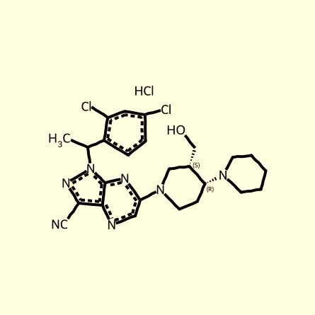 CC(c1ccc(Cl)cc1Cl)n1nc(C#N)c2ncc(N3CC[C@@H](N4CCCCC4)[C@@H](CO)C3)nc21.Cl